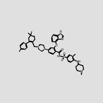 Cc1ccc(C2=C(CN3CCN(c4ccc(C(=O)NS(=O)(=O)c5ccc(NC6CCN(C)CC6)c(C)c5)c(Oc5cccc6[nH]cnc56)c4)CC3)CCC(C)(C)C2)cc1